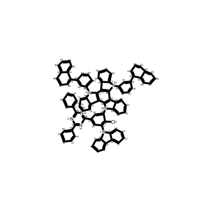 Clc1c(-n2c3ccccc3c3ccccc32)cc(-c2nc(-c3ccccc3)nc(-c3ccccc3)n2)cc1-n1c2ccccc2c2c3c(c4ccccc4n3-c3cccc(-c4cccc5ccccc45)c3)c3c(c4ccccc4n3-c3cccc(-c4cccc5ccccc45)c3)c21